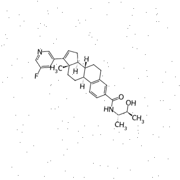 C[C@H](O)[C@H](C)NC(=O)c1ccc2c(c1)CC[C@@H]1[C@@H]2CC[C@]2(C)C(c3cncc(F)c3)=CC[C@@H]12